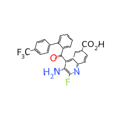 Nc1c(F)nc2ccc(C(=O)O)cc2c1C(=O)c1ccccc1-c1ccc(C(F)(F)F)cc1